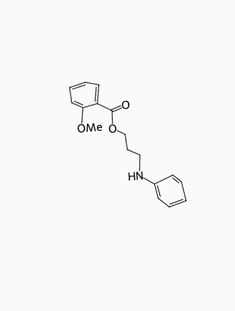 COc1ccccc1C(=O)OCCCNc1ccccc1